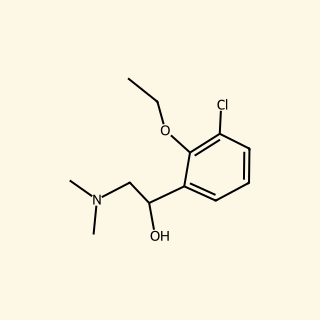 CCOc1c(Cl)cccc1C(O)CN(C)C